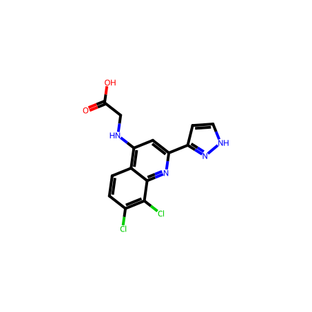 O=C(O)CNc1cc(-c2cc[nH]n2)nc2c(Cl)c(Cl)ccc12